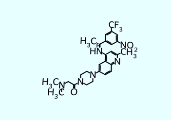 Cc1cc(N[C@H](C)c2cc([N+](=O)[O-])cc(C(F)(F)F)c2)c2cc(N3CCN(C(=O)CN(C)C)CC3)ccc2n1